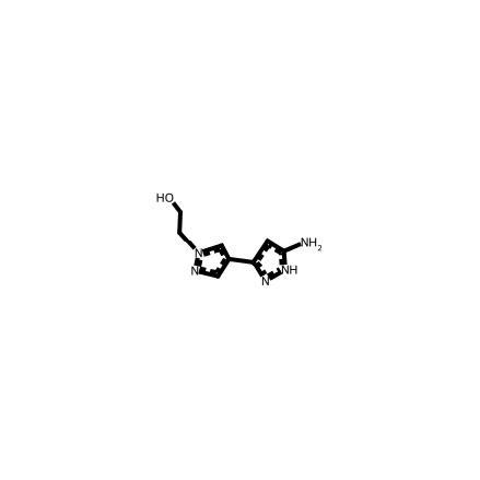 Nc1cc(-c2cnn(CCO)c2)n[nH]1